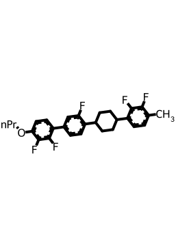 CCCOc1ccc(-c2ccc(C3CCC(c4ccc(C)c(F)c4F)CC3)c(F)c2)c(F)c1F